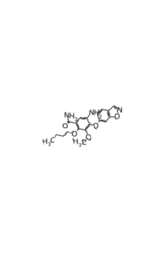 CCCCOc1c(C(N)=O)cc(N)c(Oc2ccc3cnoc3c2)c1OC